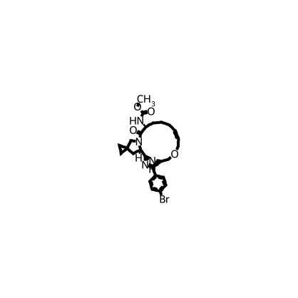 COC(=O)N[C@H]1CCC/C=C\COCc2[nH]c(nc2-c2ccc(Br)cc2)[C@@H]2CC3(CC3)CN2C1=O